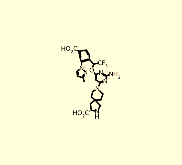 Cc1ccn(-c2cc(C(=O)O)ccc2C(Oc2cc(N3CCC4(CC3)CN[C@H](C(=O)O)C4)nc(N)n2)C(F)(F)F)n1